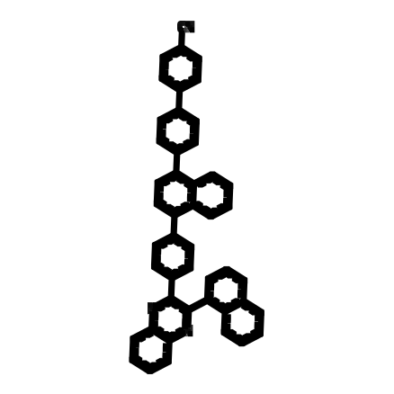 N#Cc1ccc(-c2ccc(-c3ccc(-c4ccc(-c5nc6ccccc6nc5-c5cccc6ccccc56)cc4)c4ccccc34)cc2)cc1